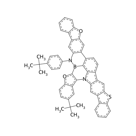 CC(C)(C)c1ccc(N2B3c4oc5ccc(C(C)(C)C)cc5c4-n4c5cc6c(cc5c5ccc(c3c54)-c3cc4oc5ccccc5c4cc32)sc2ccccc26)cc1